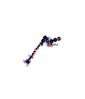 COC(=O)c1cc(-c2ccc(N3CCOCC3)cc2)ccc1N[C@@H](C#N)[C@H](Cc1c[nH]c2cccc(-c3ccc(-c4cn(CCCOCCOCCOCCNC(=O)CCC[C@H]5SC[C@H]6NC(=O)N[C@H]65)nn4)cc3)c12)NC(=O)OC(C)(C)C